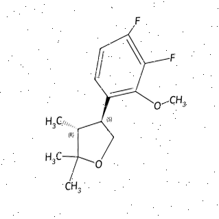 COc1c([C@H]2COC(C)(C)[C@@H]2C)ccc(F)c1F